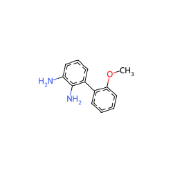 COc1ccccc1-c1cccc(N)c1N